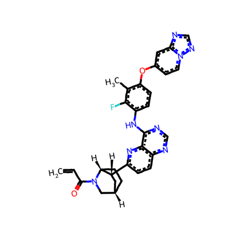 C=CC(=O)N1C[C@H]2CC[C@@H]1[C@H](c1ccc3ncnc(Nc4ccc(Oc5ccn6ncnc6c5)c(C)c4F)c3n1)C2